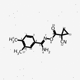 Cc1ccc(/C(N)=N/OC(=O)C2(C#N)CC2)cc1C